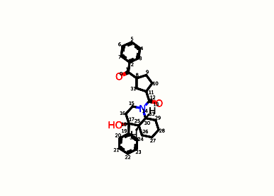 O=C(c1ccccc1)C1CCC(C(=O)N2CCC(O)(c3ccccc3)[C@H]3CCCC[C@H]32)C1